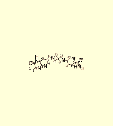 CCc1nc2ncc(CN3CC4(C3)CN(c3ccc(C(=O)NC)nc3)C4)cc2[nH]c1=O